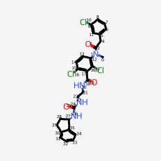 CN(C(=O)Cc1cccc(Cl)c1)c1ccc(Cl)c(C(=O)NCCNC(=O)N[C@@H]2CCc3ccccc32)c1Cl